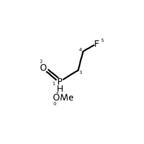 CO[PH](=O)CCF